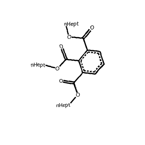 CCCCCCCOC(=O)c1cccc(C(=O)OCCCCCCC)c1C(=O)OCCCCCCC